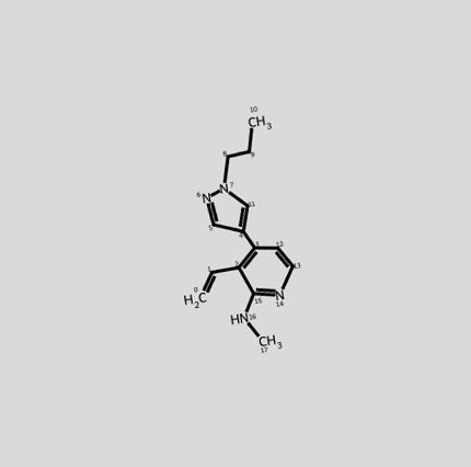 C=Cc1c(-c2cnn(CCC)c2)ccnc1NC